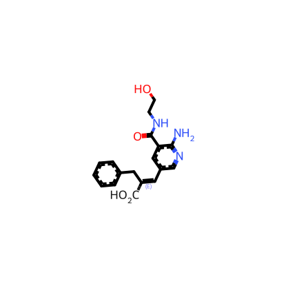 Nc1ncc(/C=C(\Cc2ccccc2)C(=O)O)cc1C(=O)NCCO